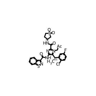 CC(=O)Cn1c(C(=O)N[C@@H]2CCS(=O)(=O)C2)nc(NC(=O)c2nsc3ccccc23)c1[C@@H](C)c1cc(F)ccc1Cl